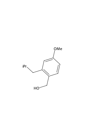 COc1ccc(CO)c(CC(C)C)c1